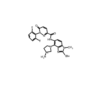 Cn1c(C(C)(C)C)nc2c(N3CC[C@H](N)C3)c(NC(=O)c3ccc(=O)n(-c4c(F)cccc4F)n3)ccc21